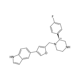 Fc1ccc([C@H]2CNCCN2Cc2cc(-c3ccc4[nH]ccc4c3)co2)cc1